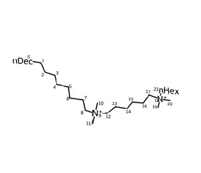 CCCCCCCCCCCCCCCCCC[N+](C)(C)CCCCCC[N+](C)(C)CCCCCC